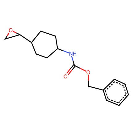 O=C(NC1CCC(C2CO2)CC1)OCc1ccccc1